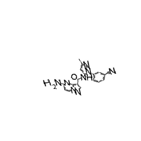 Cc1cc(NC(=O)c2cnn3ccc(N)nc23)n(-c2cccc(C#N)c2)n1